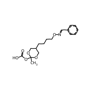 CC1(OC(=O)O)OCC(CCCCON=Cc2ccccc2)CO1